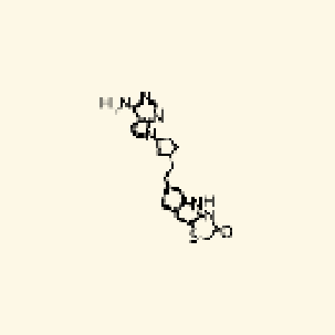 Nc1ncnc2c1ccn2C1CCC(CCc2ccc3cc4c(nc3c2)NC(=O)CS4)C1